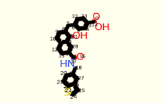 O=C(O)c1ccc(Cc2ccc3ccc(C(=O)NCc4ccc5sccc5c4)cc3c2O)cc1